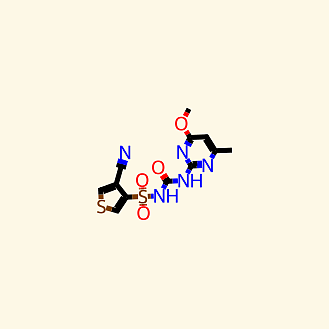 COc1cc(C)nc(NC(=O)NS(=O)(=O)c2cscc2C#N)n1